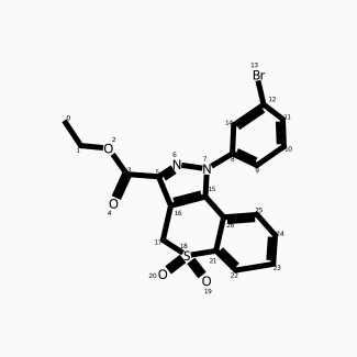 CCOC(=O)c1nn(-c2cccc(Br)c2)c2c1CS(=O)(=O)c1ccccc1-2